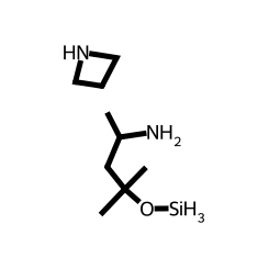 C1CNC1.CC(N)CC(C)(C)O[SiH3]